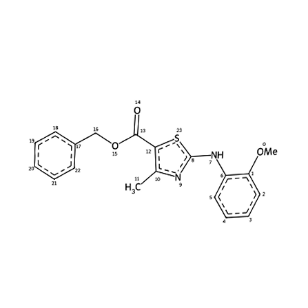 COc1ccccc1Nc1nc(C)c(C(=O)OCc2ccccc2)s1